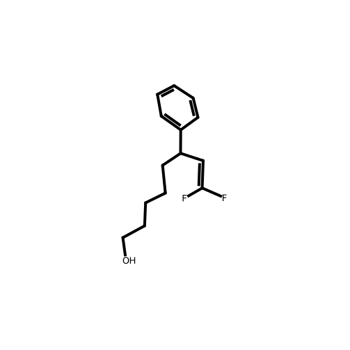 OCCCCCC(C=C(F)F)c1ccccc1